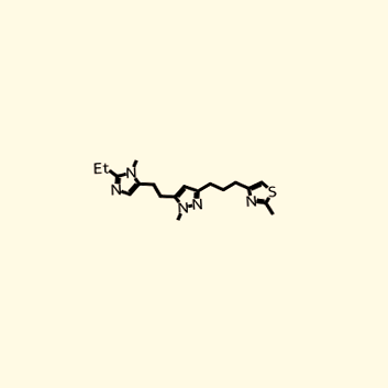 CCc1ncc(CCc2cc(CCCc3csc(C)n3)nn2C)n1C